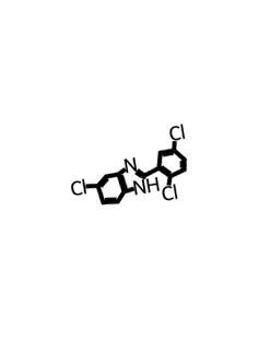 Clc1ccc(Cl)c(-c2nc3cc(Cl)ccc3[nH]2)c1